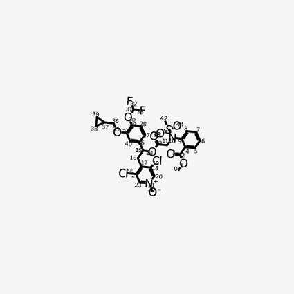 COC(=O)c1ccccc1N(CC(=O)OC(Cc1c(Cl)c[n+]([O-])cc1Cl)c1ccc(OC(F)F)c(OCC2CC2)c1)S(C)(=O)=O